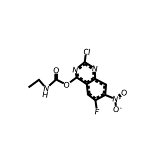 CCNC(=O)Oc1nc(Cl)nc2cc([N+](=O)[O-])c(F)cc12